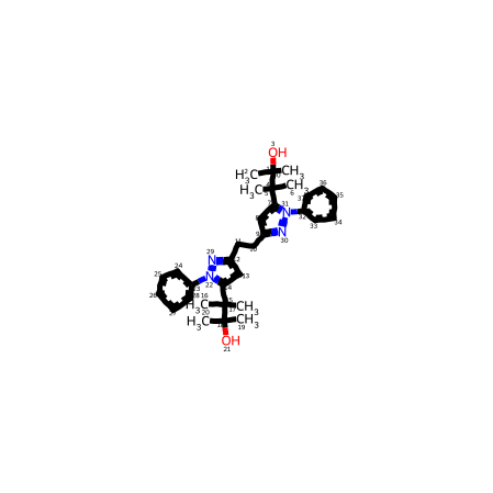 CC(C)(O)C(C)(C)c1cc(CCc2cc(C(C)(C)C(C)(C)O)n(-c3ccccc3)n2)nn1-c1ccccc1